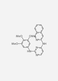 COc1cc(Nc2nccc(Nc3cc4ccccc4cn3)n2)cc(OC)c1OC